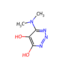 CN(C)c1nnnc(O)c1O